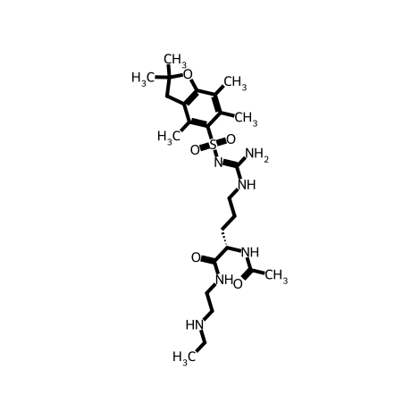 CCNCCNC(=O)[C@H](CCCN/C(N)=N/S(=O)(=O)c1c(C)c(C)c2c(c1C)CC(C)(C)O2)NC(C)=O